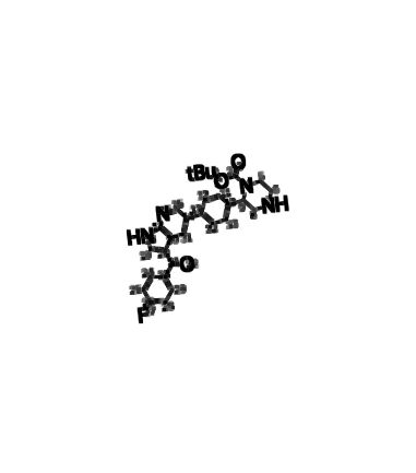 CC(C)(C)OC(=O)N1CCNCC1c1ccc(-c2cnc3[nH]cc(C(=O)c4ccc(F)cc4)c3c2)cc1